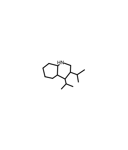 CC(C)C1CNC2CCCCC2C1C(C)C